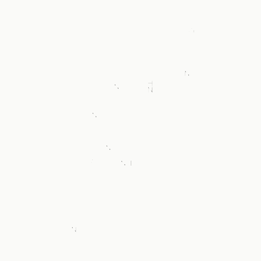 C=C1C(c2cccnc2)=CNN1c1cc(NCC(C)N2CCOCC2)ncn1